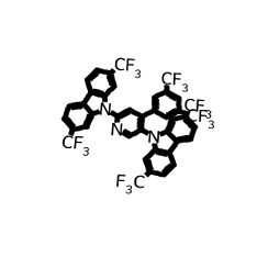 FC(F)(F)c1cc(-c2cc(-n3c4cc(C(F)(F)F)ccc4c4ccc(C(F)(F)F)cc43)ncc2-n2c3cc(C(F)(F)F)ccc3c3ccc(C(F)(F)F)cc32)cc(C(F)(F)F)c1